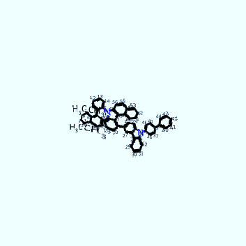 CC1(C)CCC(C)(C)c2c(-c3ccccc3-n3c4cccc(-c5ccc6c(c5)c5ccccc5n6-c5ccc(-c6ccccc6)cc5)c4c4c5ccccc5ccc43)cccc21